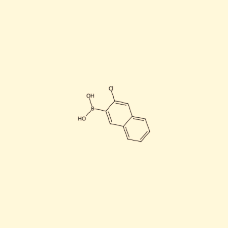 OB(O)c1cc2ccccc2cc1Cl